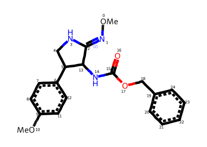 CO/N=C1\NCC(c2ccc(OC)cc2)C1NC(=O)OCc1ccccc1